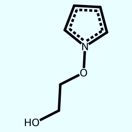 OCCOn1cccc1